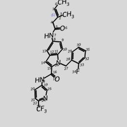 C/C=C(\C)CC(=O)Nc1ccc2c(c1)cc(C(=O)Nc1ccc(C(F)(F)F)nc1)n2Cc1ccccc1F